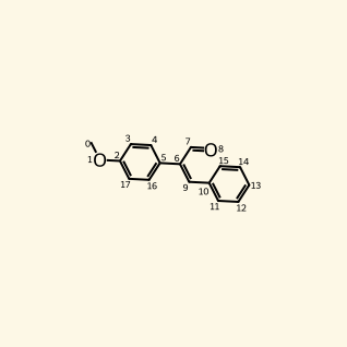 COc1ccc(C(C=O)=Cc2ccccc2)cc1